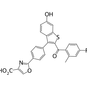 Cc1cc(F)ccc1C(=O)c1sc2cc(O)ccc2c1-c1ccc(-c2nc(C(=O)O)co2)cc1